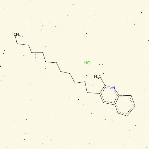 CCCCCCCCCCCCc1cc2ccccc2nc1C.Cl